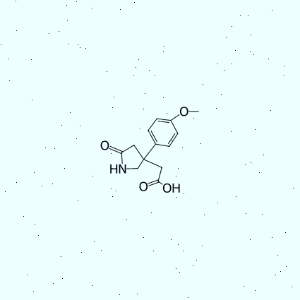 COc1ccc(C2(CC(=O)O)CNC(=O)C2)cc1